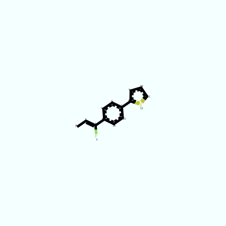 [CH2]/C=C(\F)c1ccc(-c2cccs2)cc1